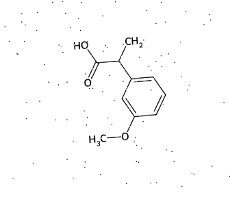 [CH2]C(C(=O)O)c1cccc(OC)c1